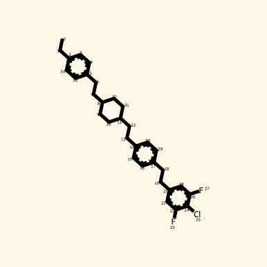 CCc1ccc(CCC2CCC(CCc3ccc(CCc4cc(F)c(Cl)c(F)c4)cc3)CC2)cc1